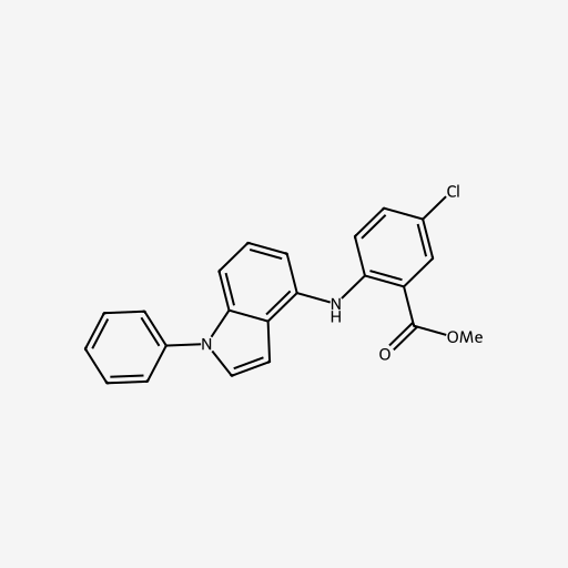 COC(=O)c1cc(Cl)ccc1Nc1cccc2c1ccn2-c1ccccc1